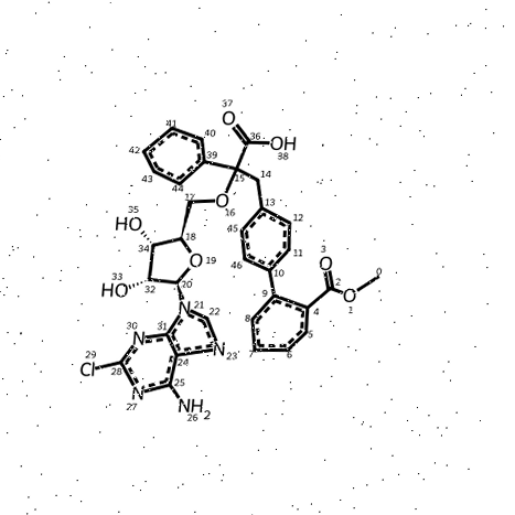 COC(=O)c1ccccc1-c1ccc(CC(OC[C@H]2O[C@@H](n3cnc4c(N)nc(Cl)nc43)[C@H](O)[C@@H]2O)(C(=O)O)c2ccccc2)cc1